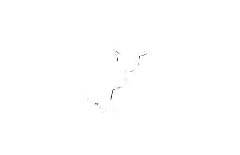 CC[O][Al]([O]CC)[O]CC.[BH4-].[H-].[Na+].[Na+]